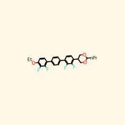 CCCC1OCC(c2ccc(-c3ccc(-c4ccc(OCC)c(F)c4F)cc3)c(F)c2F)CO1